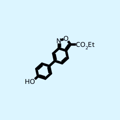 CCOC(=O)c1onc2cc(-c3ccc(O)cc3)ccc12